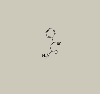 NC(=O)CC(Br)c1ccccc1